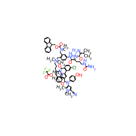 Cc1c(N(C(=O)c2cc(-c3cc(Cl)ccc3C(=O)N3Cc4ccccc4C[C@H]3CCC[N+](C)(C)Cc3ccc(NC(=O)[C@H](CCCNC(N)=O)NC(=O)[C@@H](N)C(C)C)cc3CN(C)C(=O)OCC3c4ccccc4-c4ccccc43)n(C)c2C)c2ccc(O)cc2)cc(C#N)n1C.O=C([O-])C(F)(F)F